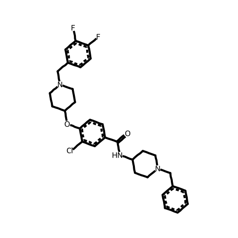 O=C(NC1CCN(Cc2ccccc2)CC1)c1ccc(OC2CCN(Cc3ccc(F)c(F)c3)CC2)c(Cl)c1